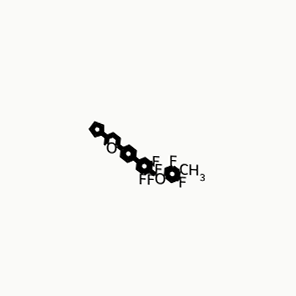 Cc1c(F)cc(OC(F)(F)c2c(F)cc(-c3ccc(C4CCC(C5CCCC5)CO4)cc3)cc2F)cc1F